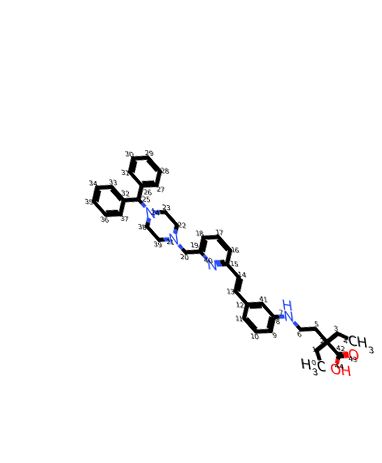 CCC(CC)(CCNc1cccc(C=Cc2cccc(CN3CCN(C(c4ccccc4)c4ccccc4)CC3)n2)c1)C(=O)O